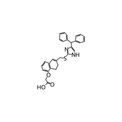 O=C(O)COc1cccc2c1CCC(CSc1nc(C(c3ccccc3)c3ccccc3)c[nH]1)=C2